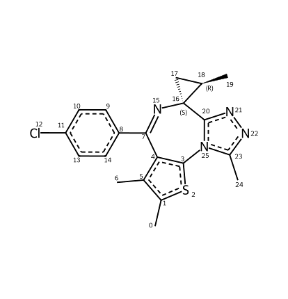 Cc1sc2c(c1C)C(c1ccc(Cl)cc1)=N[C@]1(C[C@H]1C)c1nnc(C)n1-2